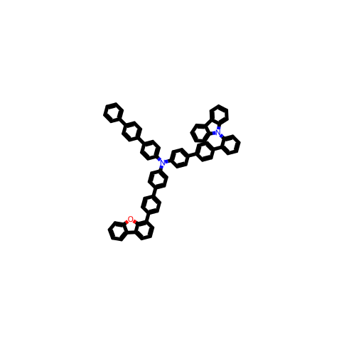 c1ccc(-c2ccc(-c3ccc(N(c4ccc(-c5ccc(-c6ccccc6-n6c7ccccc7c7ccccc76)cc5)cc4)c4ccc(-c5ccc(-c6cccc7c6oc6ccccc67)cc5)cc4)cc3)cc2)cc1